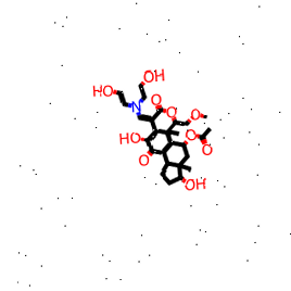 COCC1OC(=O)C(=CN(CCO)CCO)C2=C(O)C(=O)C3=C(C(OC(C)=O)CC4(C)C(O)CCC34)C21C